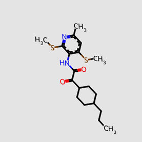 CCCC1CCC(C(=O)C(=O)Nc2c(SC)cc(C)nc2SC)CC1